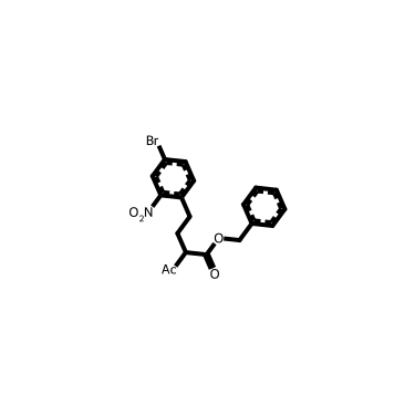 CC(=O)C(CCc1ccc(Br)cc1[N+](=O)[O-])C(=O)OCc1ccccc1